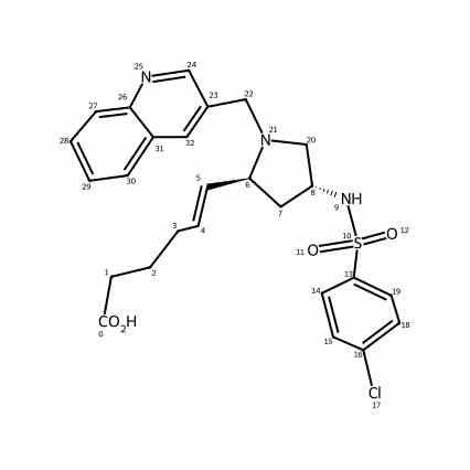 O=C(O)CCCC=C[C@@H]1C[C@@H](NS(=O)(=O)c2ccc(Cl)cc2)CN1Cc1cnc2ccccc2c1